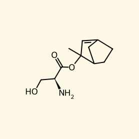 CC1(OC(=O)[C@@H](N)CO)C=C2CCC1C2